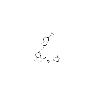 Cc1ccnc([C@H]2C[C@@H]2C(=O)N(C)c2cc(NCc3cn4cc(C5CC5)ccc4n3)ccc2S(N)(=O)=O)n1